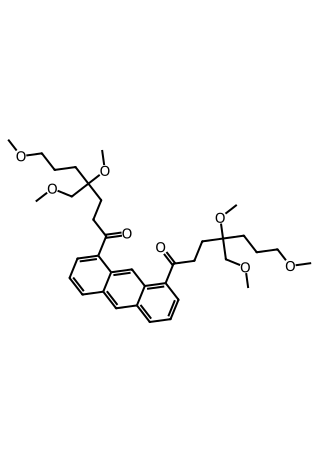 COCCCC(CCC(=O)c1cccc2cc3cccc(C(=O)CCC(CCCOC)(COC)OC)c3cc12)(COC)OC